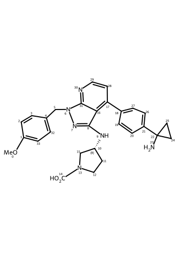 COc1ccc(Cn2nc(N[C@@H]3CCN(C(=O)O)C3)c3c(-c4ccc(C5(N)CC5)cc4)ccnc32)cc1